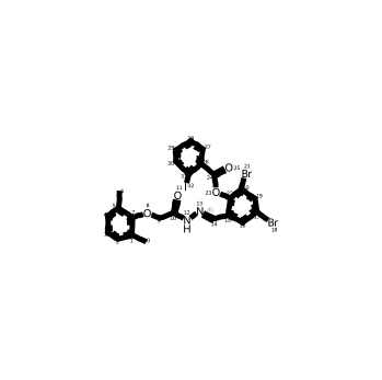 Cc1cccc(C)c1OCC(=O)N/N=C/c1cc(Br)cc(Br)c1OC(=O)c1ccccc1I